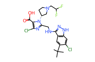 CC(C)(C)c1cc2c(NCc3nc(Cl)c(C(=O)O)n3[C@@H]3CCN(CC(F)F)C3)n[nH]c2cc1Cl